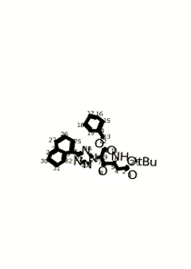 CC(C)(C)OC(=O)CC(N)C(=O)C(C(=O)OCc1ccccc1)n1nnc(-c2cccc3ccccc23)n1